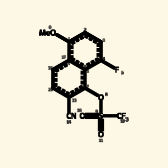 COc1ccc(F)c2c(OS(=O)(=O)C(F)(F)F)c(C#N)ccc12